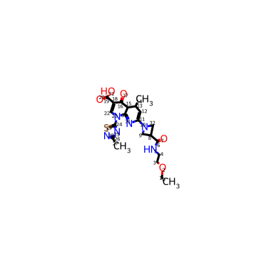 CCOCCNC(=O)C1CN(C2=CC(C)C3C(=O)C(C(=O)O)=CN(c4nc(C)ns4)C3=N2)C1